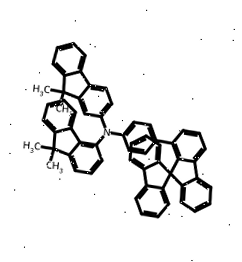 CC1(C)c2ccccc2-c2ccc(N(c3ccc(-c4cccc5c4C4(c6ccccc6-c6ccccc64)c4ccccc4-5)cc3)c3cccc4c3-c3ccccc3C4(C)C)cc21